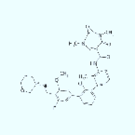 COc1cc(-c2cccc(-c3cccc(NC(=O)C4=CN(C)C5OC5N(C)C4=O)c3C)c2Cl)cc(F)c1CN[C@H]1CCCOC1